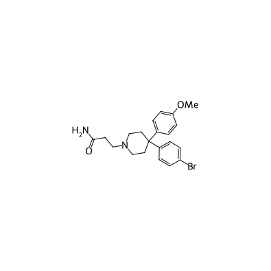 COc1ccc(C2(c3ccc(Br)cc3)CCN(CCC(N)=O)CC2)cc1